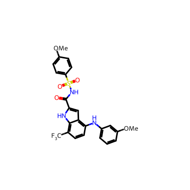 COc1ccc(S(=O)(=O)NC(=O)c2cc3c(Nc4cccc(OC)c4)ccc(C(F)(F)F)c3[nH]2)cc1